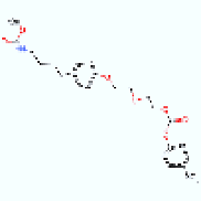 CC(C)(C)OC(=O)NCCCCc1ccc(OCCOCCOC(=O)Oc2ccc([N+](=O)[O-])cc2)cc1